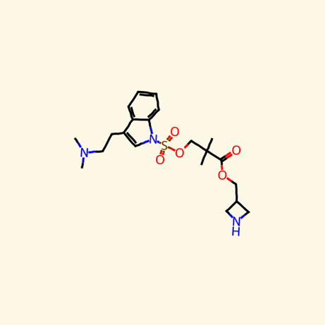 CN(C)CCc1cn(S(=O)(=O)OCC(C)(C)C(=O)OCC2CNC2)c2ccccc12